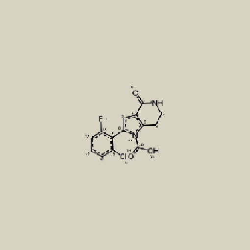 O=C1NCCc2c1cc(-c1c(F)cccc1Cl)n2C(=O)O